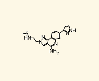 CSNCCn1cc2c(N)nc3cc(-c4cc[nH]n4)ccc3c2n1